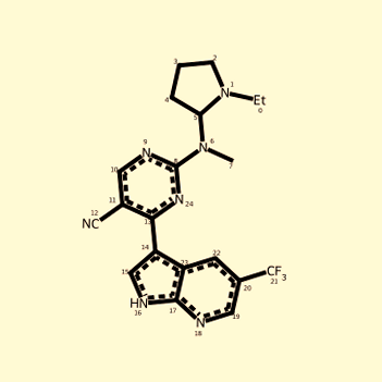 CCN1CCCC1N(C)c1ncc(C#N)c(-c2c[nH]c3ncc(C(F)(F)F)cc23)n1